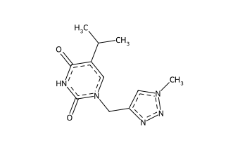 CC(C)c1cn(Cc2cn(C)nn2)c(=O)[nH]c1=O